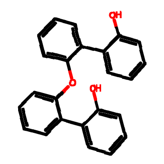 Oc1ccccc1-c1ccccc1Oc1ccccc1-c1ccccc1O